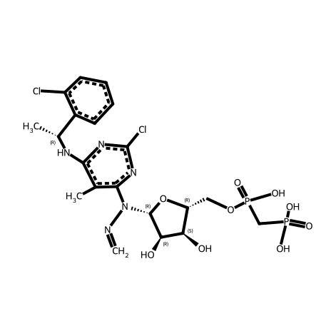 C=NN(c1nc(Cl)nc(N[C@H](C)c2ccccc2Cl)c1C)[C@@H]1O[C@H](COP(=O)(O)CP(=O)(O)O)[C@@H](O)[C@H]1O